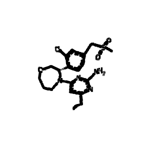 CCc1cc(N2CCCOC[C@@H]2c2ccc(CS(C)(=O)=O)cc2Cl)nc(N)n1